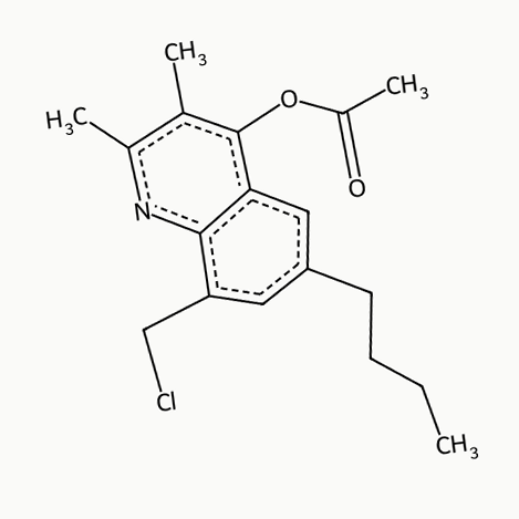 CCCCc1cc(CCl)c2nc(C)c(C)c(OC(C)=O)c2c1